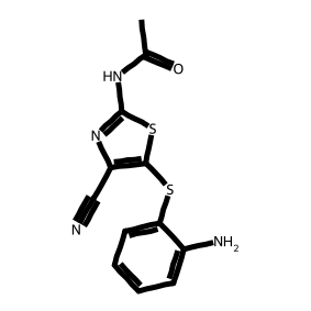 CC(=O)Nc1nc(C#N)c(Sc2ccccc2N)s1